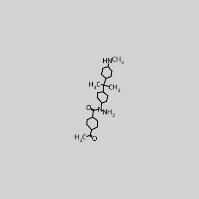 CNC1CCC(C(C)(C)C2CCC(N(N)C(=O)C3CCC(C(C)=O)CC3)CC2)CC1